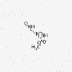 CCOC(=O)C1CN(CCCNC=O)CCN1